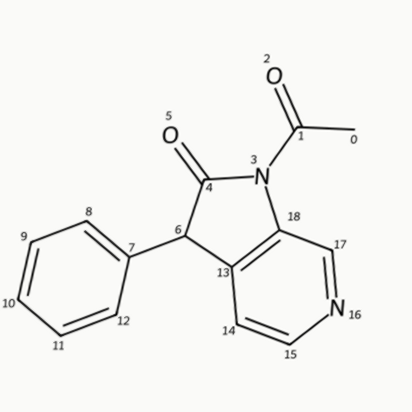 CC(=O)N1C(=O)C(c2ccccc2)c2ccncc21